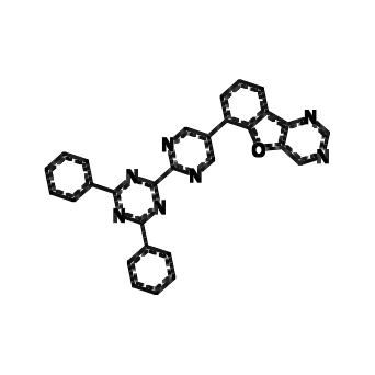 c1ccc(-c2nc(-c3ccccc3)nc(-c3ncc(-c4cccc5c4oc4cncnc45)cn3)n2)cc1